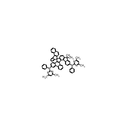 Cc1cc(C)nc(N(c2ccccc2)c2ccc3c(c2)C(C)(C)c2ccc4c(c2-3)-c2c(c3ccc(N(c5ccccc5)c5nc(C)cc(C)n5)cc3c3ccccc23)C42c3ccccc3-c3c2ccc2ccccc32)n1